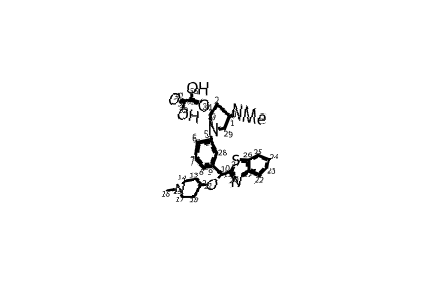 CNC1CCN(c2cccc(C(OC3CCN(C)CC3)c3nc4ccccc4s3)c2)C1.O=C(O)C(=O)O